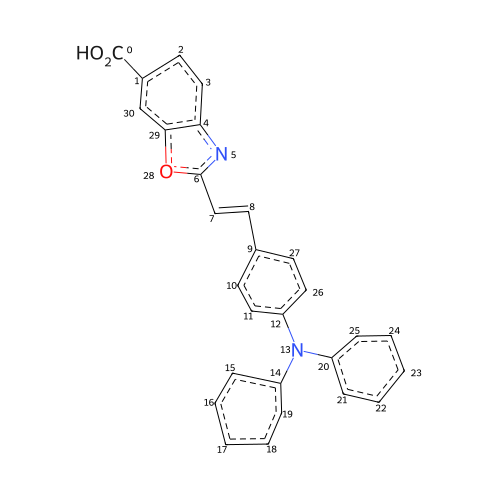 O=C(O)c1ccc2nc(/C=C/c3ccc(N(c4ccccc4)c4ccccc4)cc3)oc2c1